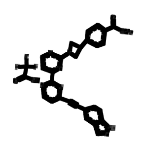 COC(=O)c1ccc(C2CN(c3nccc(-c4nccc(C#Cc5ccc6[nH]ncc6c5)n4)n3)C2)cc1.O=C(O)C(F)(F)F